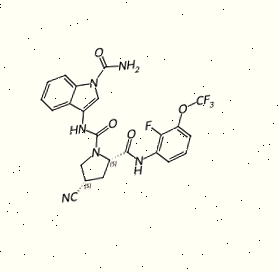 N#C[C@H]1C[C@@H](C(=O)Nc2cccc(OC(F)(F)F)c2F)N(C(=O)Nc2cn(C(N)=O)c3ccccc23)C1